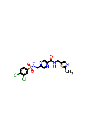 Cc1ncc(CNC(=O)c2cnc(CNS(=O)(=O)c3ccc(Cl)c(Cl)c3)cn2)s1